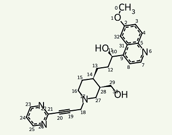 COc1ccc2nccc([C@H](O)CC[C@@H]3CCN(CC#Cc4ncccn4)C[C@@H]3CO)c2c1